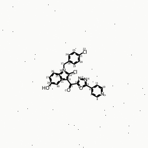 O=C(c1nnc(-c2ccncc2)o1)c1c(Cl)n(Cc2ccc(Cl)cc2)c2ccc(O)cc12